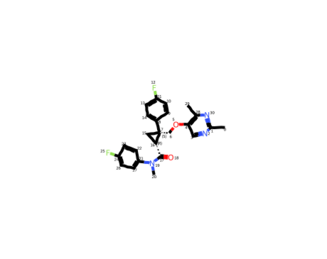 Cc1ncc(OC[C@@]2(c3ccc(F)cc3)C[C@H]2C(=O)N(C)c2ccc(F)cc2)c(C)n1